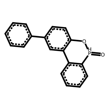 O=[PH]1Oc2ccc(-c3ccccc3)cc2-c2ccccc21